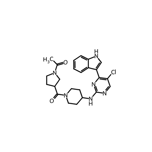 CC(=O)N1CCC(C(=O)N2CCC(Nc3ncc(Cl)c(-c4c[nH]c5ccccc45)n3)CC2)C1